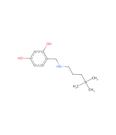 C[Si](C)(C)CCCNCc1ccc(O)cc1O